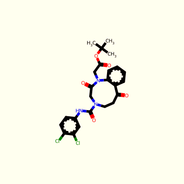 CC(C)(C)OC(=O)CN1C(=O)CN(C(=O)Nc2ccc(Cl)c(Cl)c2)CCC(=O)c2ccccc21